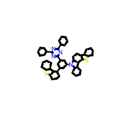 c1ccc(-c2nc(-c3ccccc3)nc(-c3cc(-c4cccc5sc6ccccc6c45)cc(-n4c5ccccc5c5c6sc7ccccc7c6ccc54)c3)n2)cc1